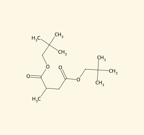 CC(CC(=O)OCC(C)(C)C)C(=O)OCC(C)(C)C